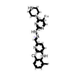 Cc1cccc(Cl)c1Nc1ccc(/C=N/Nc2ncc(F)c(N3CCNCC3)n2)nc1